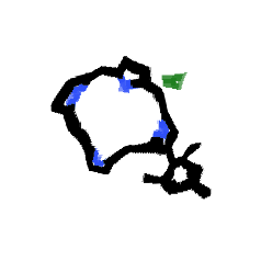 Cc1cc(C)c(C2=CC3=CC4=NC(=CC5=NC(=CC6=NC(=CC2=N3)C=C6)C=C5)C=C4)c(C)c1.Cl